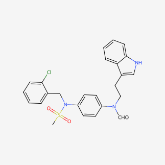 CS(=O)(=O)N(Cc1ccccc1Cl)c1ccc(N(C=O)CCc2c[nH]c3ccccc23)cc1